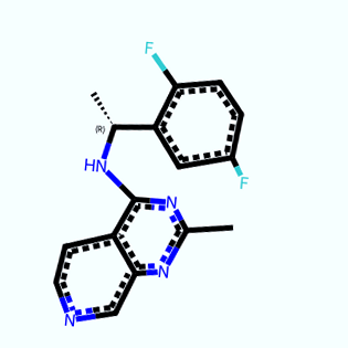 Cc1nc(N[C@H](C)c2cc(F)ccc2F)c2ccncc2n1